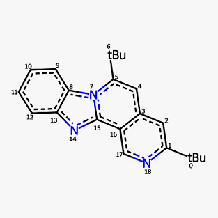 CC(C)(C)c1cc2cc(C(C)(C)C)n3c4ccccc4nc3c2cn1